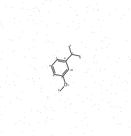 COc1[c]ccc(C(C)C)c1